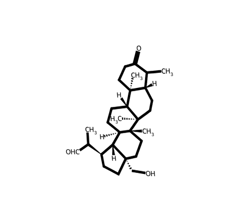 CC(C=O)[C@@H]1CC[C@]2(CO)CC[C@]3(C)[C@H](CC[C@@H]4[C@@]5(C)CCC(=O)C(C)[C@@H]5CC[C@]43C)[C@@H]12